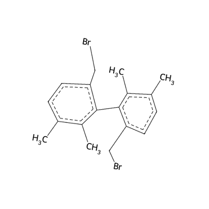 Cc1ccc(CBr)c(-c2c(CBr)ccc(C)c2C)c1C